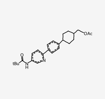 CC(=O)OCC1CCC(c2ccc(-c3ccc(NC(=O)C(C)(C)C)cn3)cc2)CC1